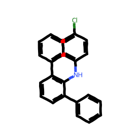 Clc1ccc(Nc2c(-c3ccccc3)cccc2-c2ccccc2)cc1